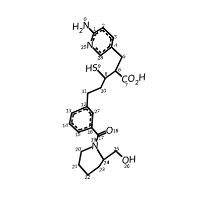 Nc1ccc(CC(C(=O)O)C(S)CCc2cccc(C(=O)N3CCCCC3CO)c2)cn1